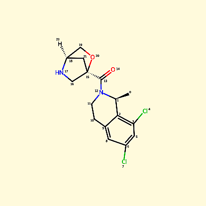 C[C@H]1c2c(Cl)cc(Cl)cc2CCN1C(=O)[C@@]12CN[C@@H](CO1)C2